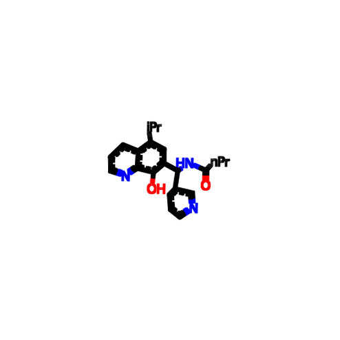 CCCC(=O)NC(c1cccnc1)c1cc(C(C)C)c2cccnc2c1O